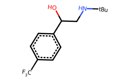 CC(C)(C)NCC(O)c1ccc(C(F)(F)F)cc1